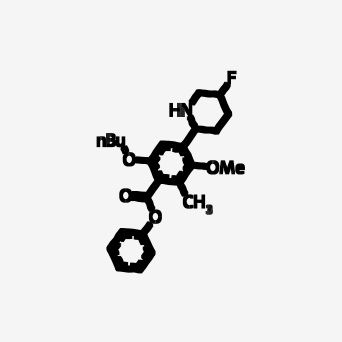 CCCCOc1cc(C2CCC(F)CN2)c(OC)c(C)c1C(=O)Oc1ccccc1